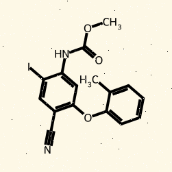 COC(=O)Nc1cc(Oc2ccccc2C)c(C#N)cc1I